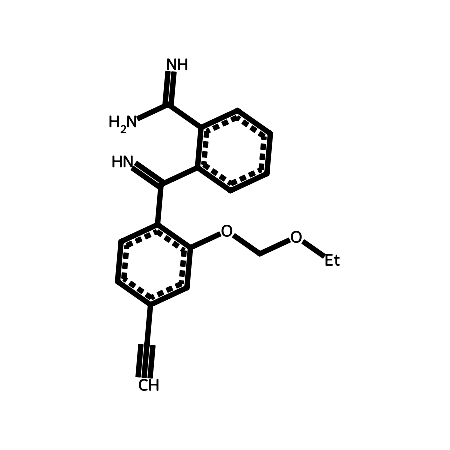 C#Cc1ccc(C(=N)c2ccccc2C(=N)N)c(OCOCC)c1